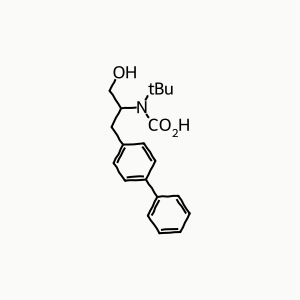 CC(C)(C)N(C(=O)O)C(CO)Cc1ccc(-c2ccccc2)cc1